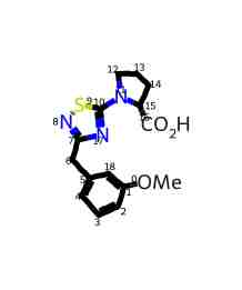 COc1cccc(Cc2nsc(N3CCCC3C(=O)O)n2)c1